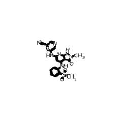 Cn1[nH]c2nc(Nc3cncc(C#N)n3)cc(Nc3ccccc3S(C)(=O)=O)c2c1=O